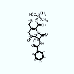 C[Si](C)(C)OC(=O)C1=C(CBr)C[S+]([O-])[C@H]2C(NC(=O)c3ccccc3)C(=O)N12